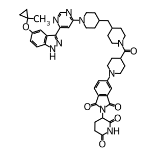 CC1(Oc2ccc3[nH]nc(-c4cc(N5CCC(CC6CCN(C(=O)C7CCN(c8ccc9c(c8)C(=O)N(C8CCC(=O)NC8=O)C9=O)CC7)CC6)CC5)ncn4)c3c2)CC1